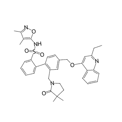 CCc1cc(OCc2ccc(-c3ccccc3S(=O)(=O)Nc3onc(C)c3C)c(CN3CCC(C)(C)C3=O)c2)c2ccccc2n1